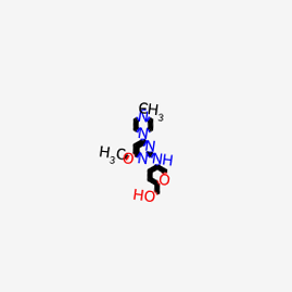 COc1cc(N2CCN(C)CC2)nc(NC2CCC(CO)OC2)n1